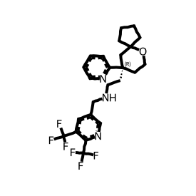 FC(F)(F)c1cc(CNCC[C@@]2(c3ccccn3)CCOC3(CCCC3)C2)cnc1C(F)(F)F